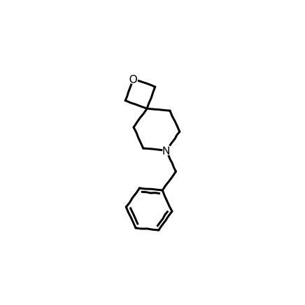 c1ccc(CN2CCC3(CC2)COC3)cc1